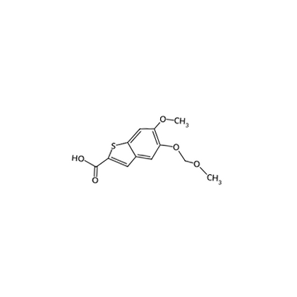 COCOc1cc2cc(C(=O)O)sc2cc1OC